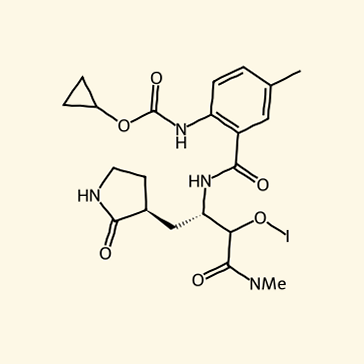 CNC(=O)C(OI)[C@H](C[C@@H]1CCNC1=O)NC(=O)c1cc(C)ccc1NC(=O)OC1CC1